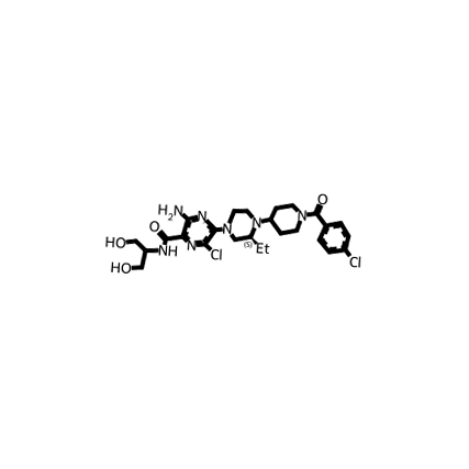 CC[C@H]1CN(c2nc(N)c(C(=O)NC(CO)CO)nc2Cl)CCN1C1CCN(C(=O)c2ccc(Cl)cc2)CC1